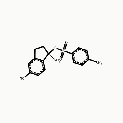 Cc1ccc(S(=O)(=O)O[C@]2(N)CCc3cc(C#N)ccc32)cc1